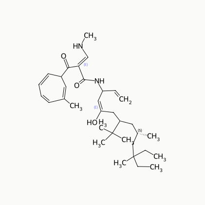 C=CC(/C=C(/O)CC(C[C@H](C)CC(C)(CC)CC)C(C)(C)C)NC(=O)/C(=C/NC)C(=O)C1C=CC=CC(C)=C1